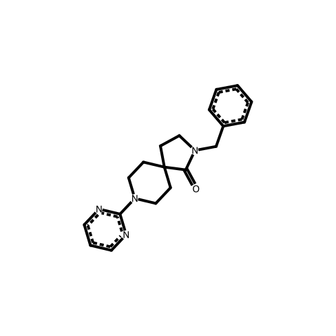 O=C1N(Cc2ccccc2)CCC12CCN(c1ncccn1)CC2